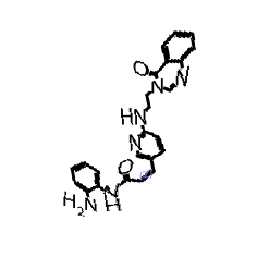 Nc1ccccc1NC(=O)/C=C\c1ccc(NCCn2cnc3ccccc3c2=O)nc1